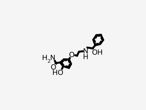 NC(=O)c1cc(OCCNCC(O)c2ccccc2)ccc1O